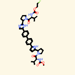 COC(=O)N[C@H](C(=O)N1CCCC1c1ccc(-c2ccc(-c3ccc(-c4cnc(C5CCCN5C(=O)[C@@H](NC(=O)OCCF)C(C)C)[nH]4)cc3)cc2)[nH]1)C(C)C